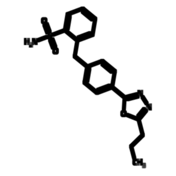 CCCc1nnc(-c2ccc(Cc3ccccc3S(N)(=O)=O)cc2)o1